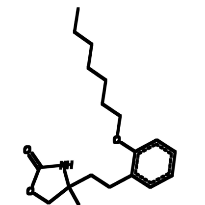 CCCCCCCOc1ccccc1CCC1(C)COC(=O)N1